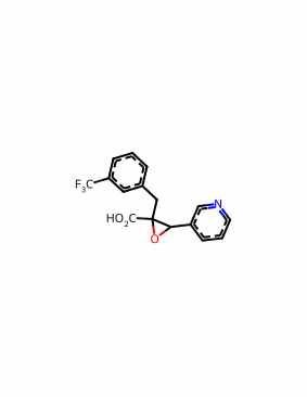 O=C(O)C1(Cc2cccc(C(F)(F)F)c2)OC1c1cccnc1